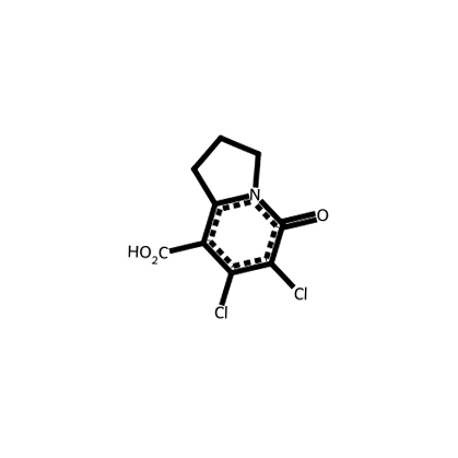 O=C(O)c1c(Cl)c(Cl)c(=O)n2c1CCC2